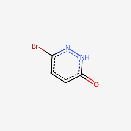 O=c1ccc(Br)n[nH]1